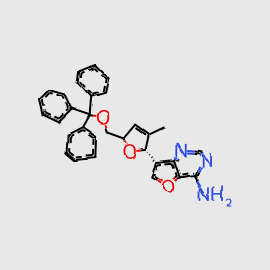 CC1=CC(COC(c2ccccc2)(c2ccccc2)c2ccccc2)O[C@H]1c1coc2c(N)ncnc12